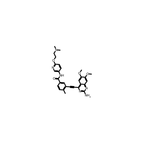 COc1cc2nc(N)nc(C#Cc3cc(C(=O)Nc4ccc(OCCN(C)C)nc4)ccc3C)c2cc1OC